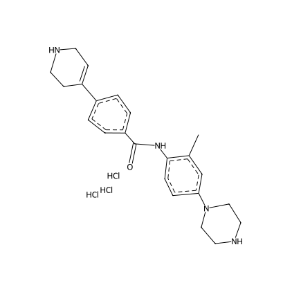 Cc1cc(N2CCNCC2)ccc1NC(=O)c1ccc(C2=CCNCC2)cc1.Cl.Cl.Cl